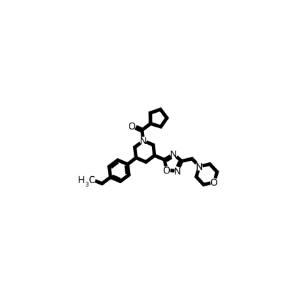 CCc1ccc(C2CC(c3nc(CN4CCOCC4)no3)CN(C(=O)C3CCCC3)C2)cc1